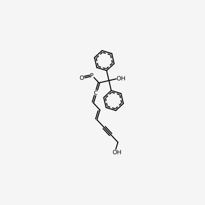 O=PC(=C=CC=CC#CCO)C(O)(c1ccccc1)c1ccccc1